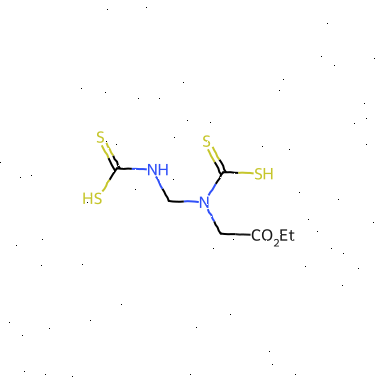 CCOC(=O)CN(CNC(=S)S)C(=S)S